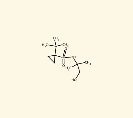 CC(C)(CO)NS(=O)(=O)C1(C(C)(C)C)CC1